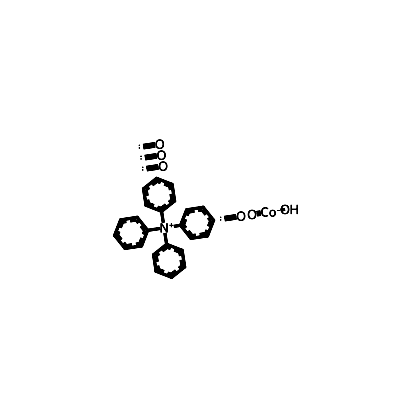 [C]=O.[C]=O.[C]=O.[C]=O.[O]=[Co-][OH].c1ccc([N+](c2ccccc2)(c2ccccc2)c2ccccc2)cc1